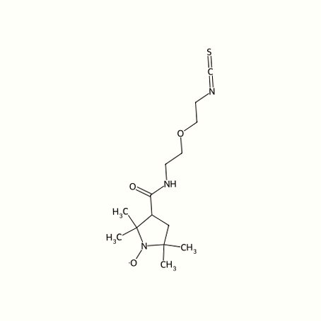 CC1(C)CC(C(=O)NCCOCCN=C=S)C(C)(C)N1[O]